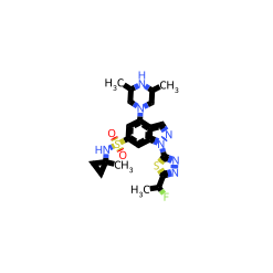 CC1CN(c2cc(S(=O)(=O)NC3(C)CC3)cc3c2cnn3-c2nnc(C(C)F)s2)CC(C)N1